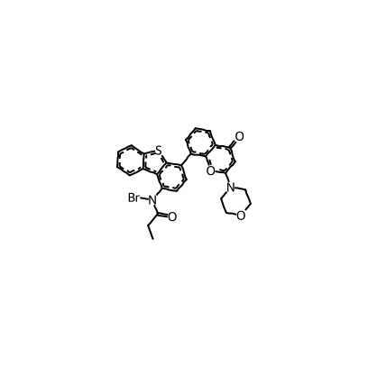 CCC(=O)N(Br)c1ccc(-c2cccc3c(=O)cc(N4CCOCC4)oc23)c2sc3ccccc3c12